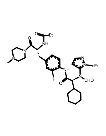 CCCn1nccc1N(C=O)[C@H](C(=O)Nc1ccc(C[C@@H](NC(=O)CC)C(=O)N2CCN(C)CC2)cc1F)C1CCCCC1